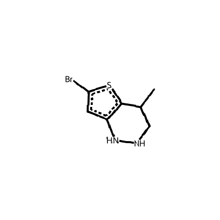 CC1CNNc2cc(Br)sc21